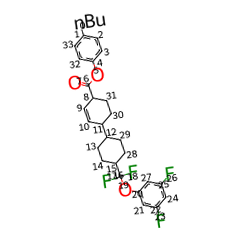 CCCCc1ccc(OC(=O)C2C=CC(C3CCC(C(F)(F)Oc4cc(F)cc(F)c4)CC3)CC2)cc1